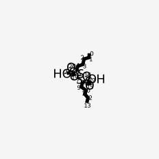 CCCCCC(SSC(CCCCC)S(=O)(=O)O)S(=O)(=O)O